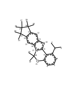 CC(C)c1cccc2c1-c1nc3cc4c(cc3n1C(C)(C)O2)C(C)(C)C(C)(C)C4(C)C